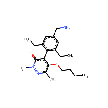 CCCCOc1c(C)nn(C)c(=O)c1-c1c(CC)cc(CN)cc1CC